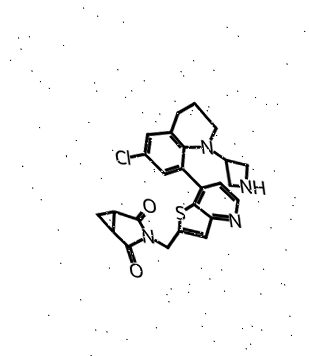 O=C1C2CC2C(=O)N1Cc1cc2nccc(-c3cc(Cl)cc4c3N(C3CNC3)CCC4)c2s1